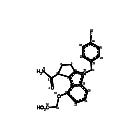 NC(=O)C1CCc2c1c1c(OCC(=O)O)cccc1n2Cc1ccc(F)cc1